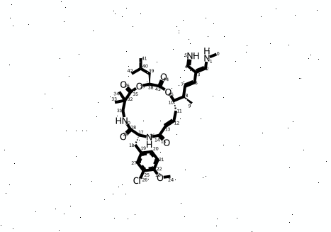 CN/C=C(C=N)/C=C/[C@@H](C)[C@@H]1C/C=C/C(=O)N[C@H](Cc2ccc(OC)c(Cl)c2)C(=O)NCC(C)(C)C(=O)O[C@@H](CC(C)C)C(=O)O1